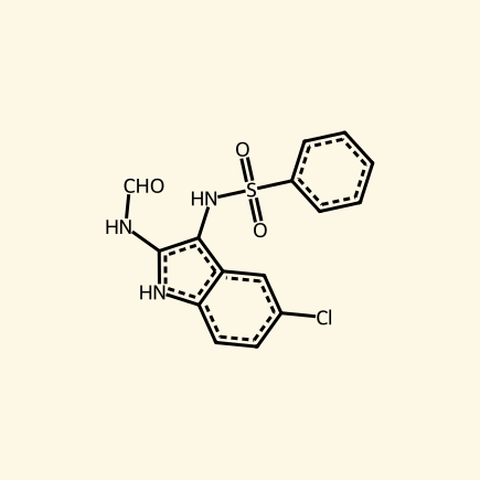 O=CNc1[nH]c2ccc(Cl)cc2c1NS(=O)(=O)c1ccccc1